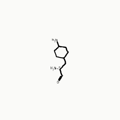 NC1CCC(C[C@@H](N)[C]=O)CC1